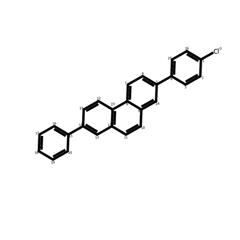 Clc1ccc(-c2ccc3c(ccc4cc(-c5ccccc5)ccc43)c2)cc1